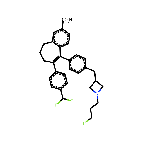 O=C(O)c1ccc2c(c1)CCCC(c1ccc(C(F)F)cc1)=C2c1ccc(CC2CN(CCCF)C2)cc1